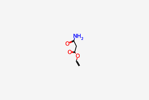 C=COC(=O)CC(N)=O